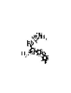 Cc1cc(C(=O)CNC2CC[N+](C)(C)CC2)cc(-c2ccc(Oc3ccc(F)cc3)cc2)n1